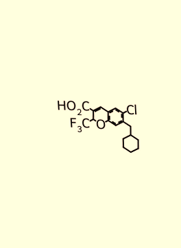 O=C(O)C1=Cc2cc(Cl)c(CC3CCCCC3)cc2OC1C(F)(F)F